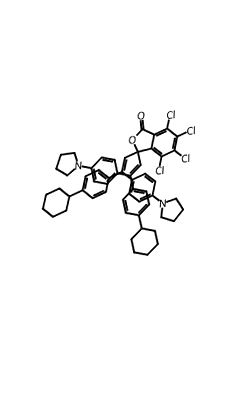 O=C1OC(/C=C(/c2ccc(C3CCCCC3)cc2)c2ccc(N3CCCC3)cc2)(/C=C(/c2ccc(C3CCCCC3)cc2)c2ccc(N3CCCC3)cc2)c2c(Cl)c(Cl)c(Cl)c(Cl)c21